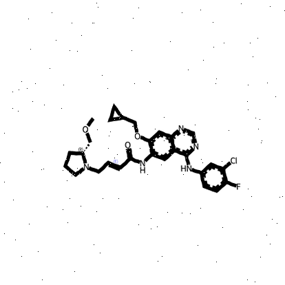 COC[C@H]1CCCN1C/C=C/C(=O)Nc1cc2c(Nc3ccc(F)c(Cl)c3)ncnc2cc1OCC1CC1